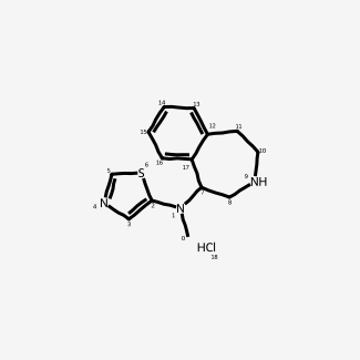 CN(c1cncs1)C1CNCCc2ccccc21.Cl